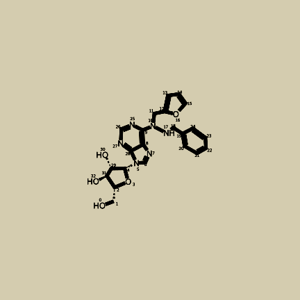 OC[C@H]1O[C@@H](n2cnc3c(N(Cc4ccco4)NCc4ccccc4)ncnc32)[C@@H](O)[C@@H]1O